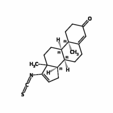 CC12CC[C@@H]3[C@@H](CCC4=CC(=O)CC[C@@]43C)[C@H]1CC=C2N=C=S